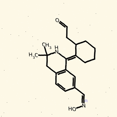 CC1(C)Cc2ccc(/C=N\O)cc2C(=C2CCCCC2CC=O)N1